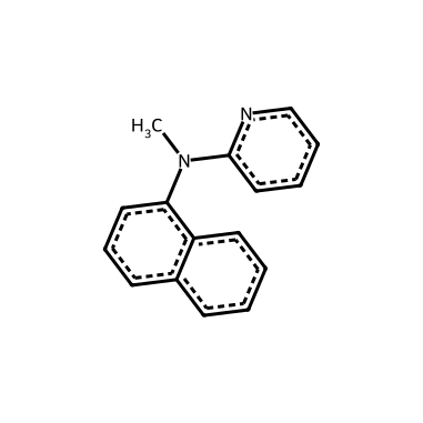 CN(c1ccccn1)c1cccc2ccccc12